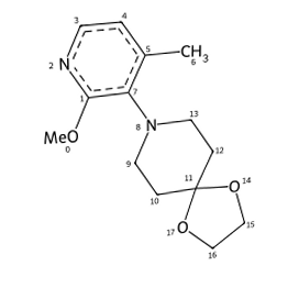 COc1nccc(C)c1N1CCC2(CC1)OCCO2